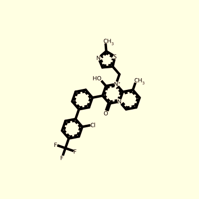 Cc1ncc(C[n+]2c(O)c(-c3cccc(-c4ccc(C(F)(F)F)cc4Cl)c3)c(=O)n3cccc(C)c32)s1